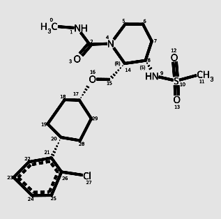 CNC(=O)N1CCC[C@H](NS(C)(=O)=O)[C@@H]1CO[C@H]1CC[C@@H](c2ccccc2Cl)CC1